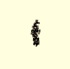 C[C@@H]1CN(c2ncc(C(F)(F)F)cn2)C[C@H](C)N1C(=O)NC1CCN(CC2CC2)CC1